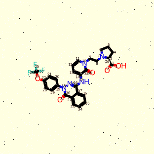 O=C(O)[C@@H]1CCCN1CCn1cccc(Nc2nn(-c3ccc(OC(F)(F)F)cc3)c(=O)c3ccccc23)c1=O